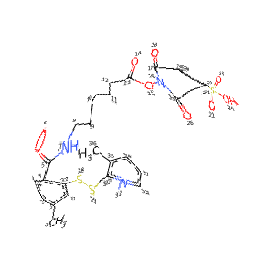 Cc1ccc(C(=O)NCCCCCC(=O)ON2C(=O)CC(S(=O)(=O)O)C2=O)c(SSc2ncccc2C)c1